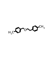 Cc1ccc(CCOCc2ccc(C)cc2)cc1